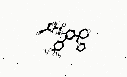 CC1(C)CC=C(c2cc(C3(CN4CCCC4)CCOCC3)ccc2NC(=O)c2nc(C#N)c[nH]2)CC1